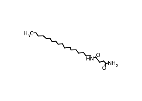 CCCCCCCCCCCCCCCCCCNC(=O)CCC(N)=O